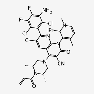 C=CC(=O)N1[C@H](C)CN(c2c(C#N)c(=O)n(C3=C(C)C=CN(C)C3C(C)C)c3nc(-c4c(Cl)c(N)c(F)c(F)c4Cl)c(Cl)cc23)C[C@@H]1C